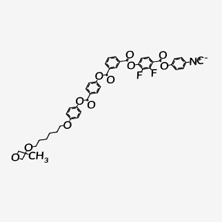 [C-]#[N+]c1ccc(OC(=O)c2ccc(OC(=O)c3cccc(C(=O)Oc4ccc(C(=O)Oc5ccc(OCCCCCCOC6(C)COC6)cc5)cc4)c3)c(F)c2F)cc1